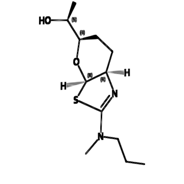 CCCN(C)C1=N[C@@H]2CC[C@H]([C@H](C)O)O[C@@H]2S1